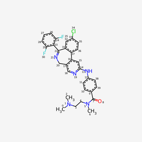 CN(C)CCN(C)C(=O)c1ccc(Nc2cc3c(cn2)CN=C(c2c(F)cccc2F)c2cc(Cl)ccc2-3)cc1